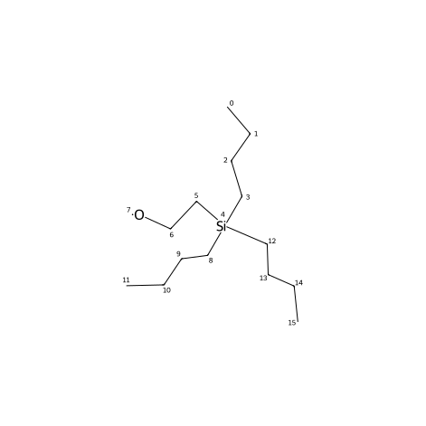 CCCC[Si](CC[O])(CCCC)CCCC